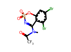 CN(C(=O)C(F)(F)F)C1=NS(=O)(=O)Oc2cc(Br)cc(Br)c21